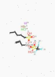 Br.C=CCS(=O)(=O)O.CCCCCS(=O)(=O)O.Cl.I.O=S(=O)(O)C(F)(F)F